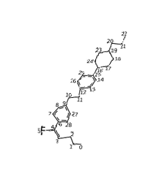 CCC/C=C(/F)c1ccc(CCc2ccc(C3CCC(CCC)CC3)cc2)cc1